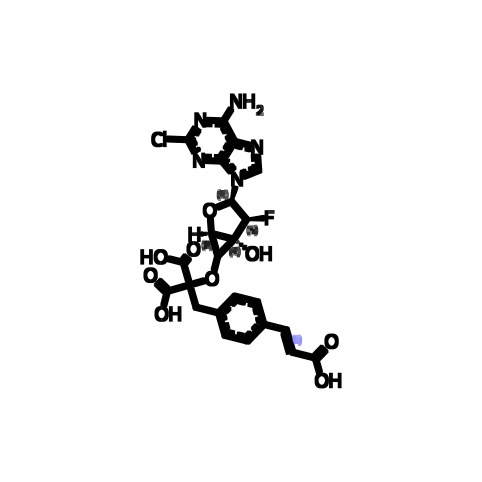 Nc1nc(Cl)nc2c1ncn2[C@@H]1O[C@@H]2C(OC(Cc3ccc(/C=C/C(=O)O)cc3)(C(=O)O)C(=O)O)[C@]2(O)[C@@H]1F